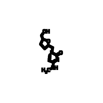 CNc1ccn(CC2CCC(CO)O2)c(=O)n1